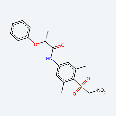 Cc1cc(NC(=O)[C@@H](C)Oc2ccccc2)cc(C)c1S(=O)(=O)C[N+](=O)[O-]